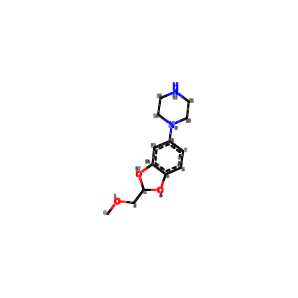 COCC1Oc2ccc(N3CCNCC3)cc2O1